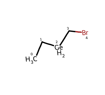 C[CH2][GeH2][CH2]Br